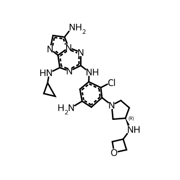 Nc1cc(Nc2nc(NC3CC3)c3ncc(N)n3n2)c(Cl)c(N2CC[C@@H](NC3COC3)C2)c1